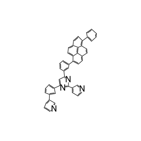 c1ccc(-c2ccc3ccc4c(-c5cccc(-c6cc(-c7cccc(-c8cccnc8)c7)nc(-c7cccnc7)n6)c5)ccc5ccc2c3c54)cc1